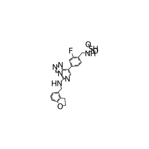 O=[SH](=O)NCc1ccc(-c2cnc(NCc3cccc4c3CCO4)n3cnnc23)cc1F